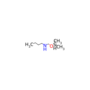 CCCCNCO[SiH](C)C